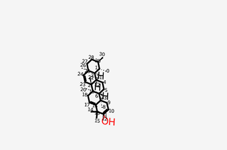 C[C@@H]1[C@H]2[C@H]3CC[C@@H]4[C@@]5(C)CC=C(O)C(C)(C)C5=CC[C@@]4(C)[C@]3(C)C=C[C@@]2(C)CC[C@H]1C